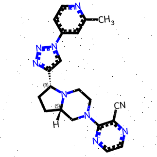 Cc1cc(-n2cc([C@H]3CC[C@H]4CN(c5nccnc5C#N)CCN43)nn2)ccn1